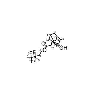 CC(F)(F)C(F)(F)CCOC(=O)CC12CC3CC(CC(O)(C3)C1)C2